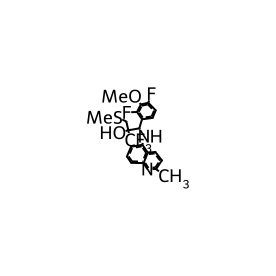 COc1c(F)ccc(C(Nc2cccc3nc(C)ccc23)C(O)(CSC)C(F)(F)F)c1F